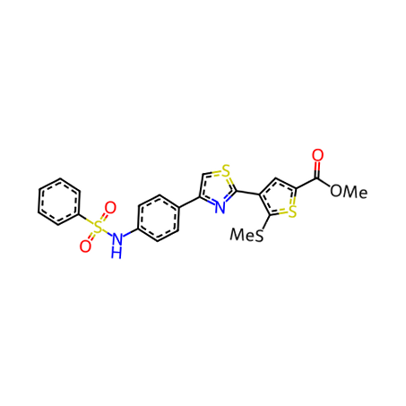 COC(=O)c1cc(-c2nc(-c3ccc(NS(=O)(=O)c4ccccc4)cc3)cs2)c(SC)s1